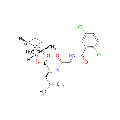 CC(C)C[C@H](NC(=O)CNC(=O)c1cc(Cl)ccc1Cl)B1O[C@@H]2C[C@@H]3CC(C3(C)C)[C@]2(C)O1